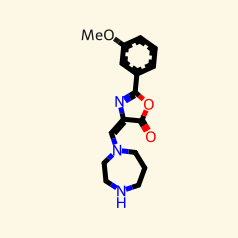 COc1cccc(C2=N/C(=C/N3CCCNCC3)C(=O)O2)c1